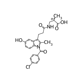 Cc1c(CCC(=O)NC[C@@H](C)C(=O)O)c2cc(O)ccc2n1C(=O)c1ccc(Cl)cc1